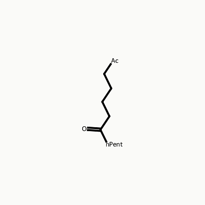 CCCCCC(=O)CCCCC(C)=O